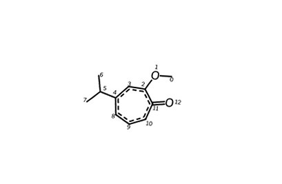 COc1cc(C(C)C)cccc1=O